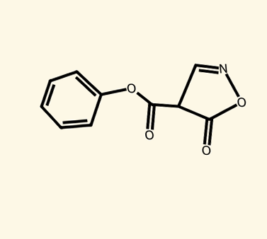 O=C1ON=CC1C(=O)Oc1ccccc1